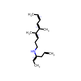 C=CC/C(=C\C)NCC/C=C(C)/C(C)=C/C=C\C